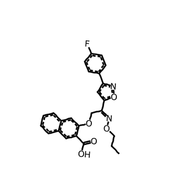 CCCON=C(COc1cc2ccccc2cc1C(=O)O)c1cc(-c2ccc(F)cc2)no1